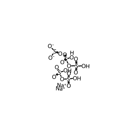 O=S(=O)(O)OS(=O)(=O)O.O=S(=O)(O)OS(=O)(=O)O.O=S([O-])[O-].[Na+].[Na+]